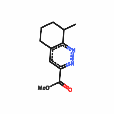 COC(=O)c1cc2c(nn1)C(C)CCC2